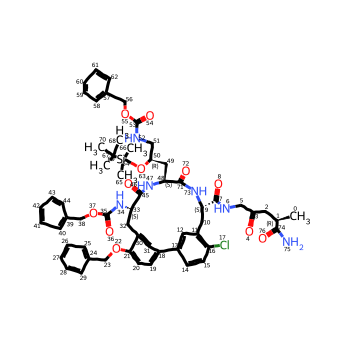 C[C@H](CC(=O)CNC(=O)[C@@H]1Cc2cc(ccc2Cl)-c2ccc(OCc3ccccc3)c(c2)C[C@H](NC(=O)OCc2ccccc2)C(=O)N[C@@H](C[C@H](CNC(=O)OCc2ccccc2)O[Si](C)(C)C(C)(C)C)C(=O)N1)C(N)=O